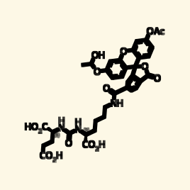 CC(=O)Oc1ccc2c(c1)Oc1cc(OC(C)O)ccc1C21OC(=O)c2ccc(C(=O)NCCCC[C@H](NC(=O)N[C@@H](CCC(=O)O)C(=O)O)C(=O)O)cc21